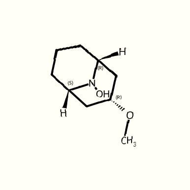 CO[C@H]1C[C@H]2CCC[C@@H](C1)N2O